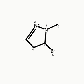 CN1[N+]=CCC1Br